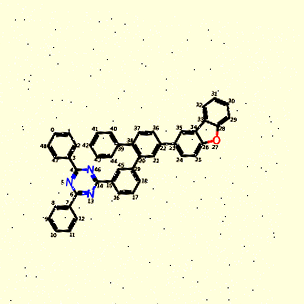 c1ccc(-c2nc(-c3ccccc3)nc(-c3cccc(-c4cc(-c5ccc6oc7ccccc7c6c5)ccc4-c4ccccc4)c3)n2)cc1